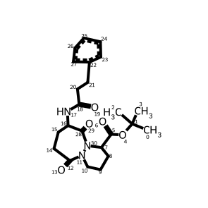 CC(C)(C)OC(=O)C1CCCN2C(=O)CCC(NC(=O)CCc3ccccc3)C(=O)N12